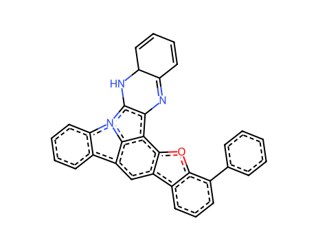 C1=CC2=Nc3c(n4c5ccccc5c5cc6c7cccc(-c8ccccc8)c7oc6c3c54)NC2C=C1